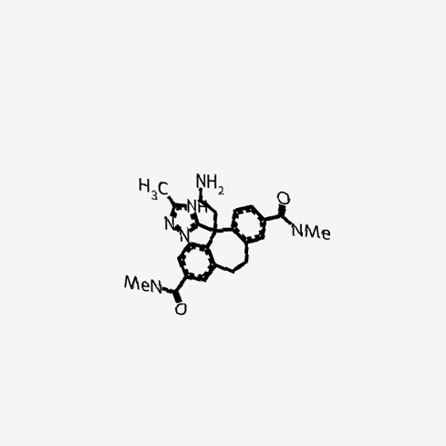 CNC(=O)c1ccc2c(c1)CCc1cc(C(=O)NC)ccc1C2(CCN)c1nnc(C)[nH]1